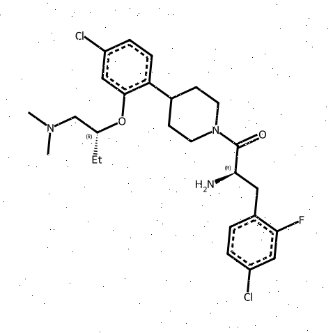 CC[C@H](CN(C)C)Oc1cc(Cl)ccc1C1CCN(C(=O)[C@H](N)Cc2ccc(Cl)cc2F)CC1